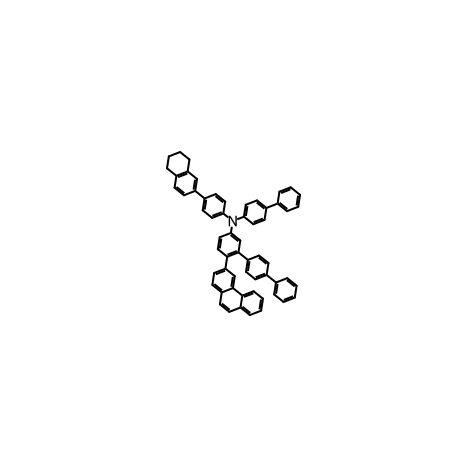 c1ccc(-c2ccc(-c3cc(N(c4ccc(-c5ccccc5)cc4)c4ccc(-c5ccc6c(c5)CCCC6)cc4)ccc3-c3ccc4ccc5ccccc5c4c3)cc2)cc1